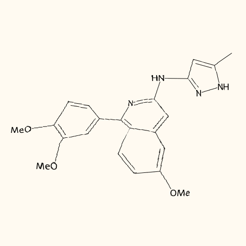 COc1ccc2c(-c3ccc(OC)c(OC)c3)nc(Nc3cc(C)[nH]n3)cc2c1